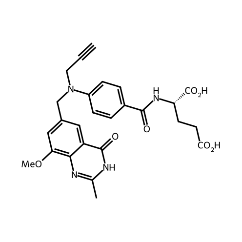 C#CCN(Cc1cc(OC)c2nc(C)[nH]c(=O)c2c1)c1ccc(C(=O)N[C@@H](CCC(=O)O)C(=O)O)cc1